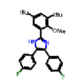 COc1c(-c2nc(-c3ccc(F)cc3)c(-c3ccc(F)cc3)[nH]2)cc(C(C)(C)C)cc1C(C)(C)C